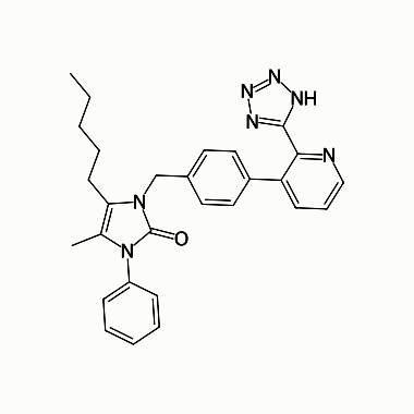 CCCCCc1c(C)n(-c2ccccc2)c(=O)n1Cc1ccc(-c2cccnc2-c2nnn[nH]2)cc1